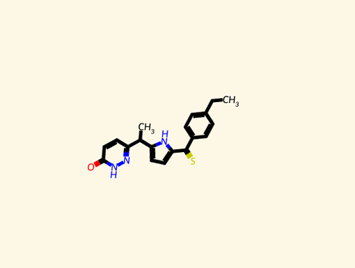 CCc1ccc(C(=S)c2ccc(C(C)c3ccc(=O)[nH]n3)[nH]2)cc1